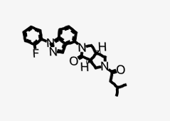 CC(C)CC(=O)N1C[C@@H]2CN(c3cccc4c3cnn4-c3ccccc3F)C(=O)[C@H]2C1